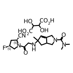 CN(C)C(=O)N1CC2=CC(C)(NCC(=O)N3C[C@@H](F)C[C@H]3C#N)CC2C1.O=C(O)C(O)C(O)C(=O)O